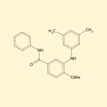 COc1ccc(C(=O)Nc2ccccc2)cc1Nc1cc(C)cc(C)c1